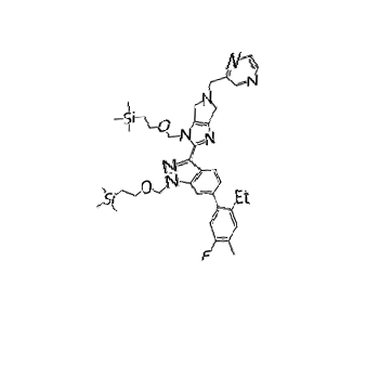 CCc1cc(C)c(F)cc1-c1ccc2c(-c3nc4c(n3COCC[Si](C)(C)C)CN(Cc3cnccn3)C4)nn(COCC[Si](C)(C)C)c2c1